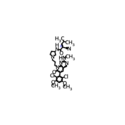 CNc1ncc2cc(-c3c(Cl)c(OC)cc(OC)c3Cl)c(=O)n(CCCN3CCC(NC(=O)/C(C#N)=C/C(C)C)C3)c2n1